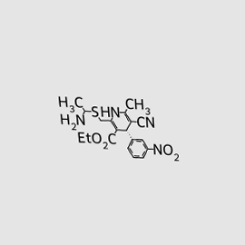 CCOC(=O)C1=C(CSC(C)N)NC(C)=C(C#N)[C@@H]1c1cccc([N+](=O)[O-])c1